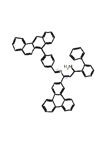 NC(/C=C(\N=C\c1ccc(-c2c3ccccc3cc3c2ccc2ccccc23)cc1)c1ccc2c3ccccc3c3ccccc3c2c1)c1ccccc1-c1ccccc1